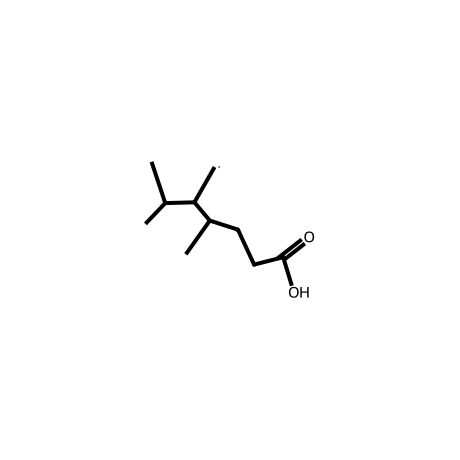 [CH2]C(C(C)C)C(C)CCC(=O)O